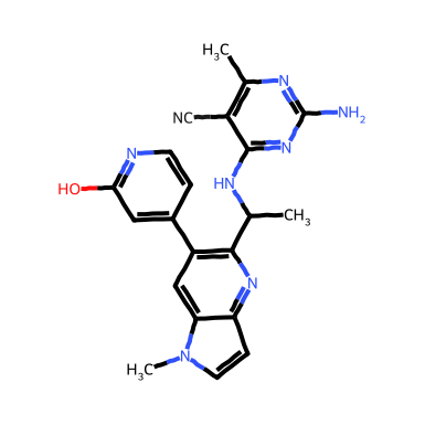 Cc1nc(N)nc(NC(C)c2nc3ccn(C)c3cc2-c2ccnc(O)c2)c1C#N